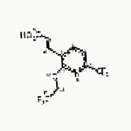 O=C(O)C=Cc1ccc(C(F)(F)F)nc1OCC(F)(F)F